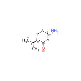 CC(C)[C@H]1CC[C@H](N)CC1=O